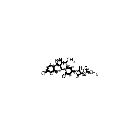 CCn1nnc(-c2ccc(Cl)cc2F)c1Cn1ncc(N2CC(OC(C)C)C2)cc1=O